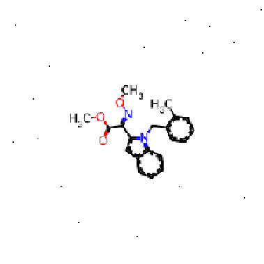 CO/N=C(\C(=O)OC)c1cc2ccccc2n1Cc1ccccc1C